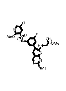 CNc1ncc2cc(-c3cc(F)cc(NS(=O)(=O)c4cc(Cl)cnc4OC)c3)c(NC[C@H](C)OC)nc2n1